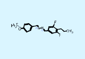 CCCc1c(F)cc(/C=N/N=C/c2ccc(OC)cc2)cc1F